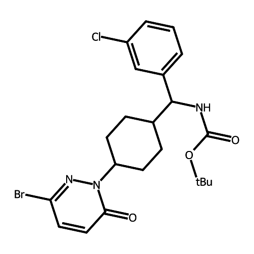 CC(C)(C)OC(=O)NC(c1cccc(Cl)c1)C1CCC(n2nc(Br)ccc2=O)CC1